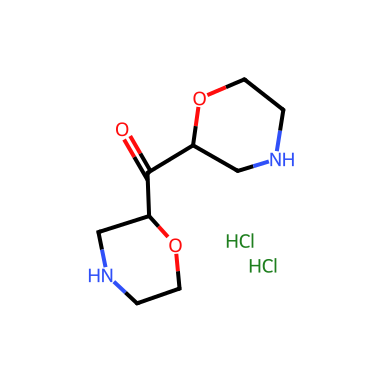 Cl.Cl.O=C(C1CNCCO1)C1CNCCO1